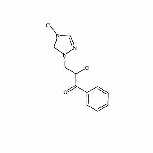 O=C(c1ccccc1)C(Cl)CN1CN(Cl)C=N1